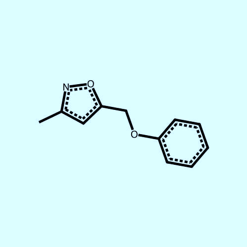 Cc1cc(COc2ccccc2)on1